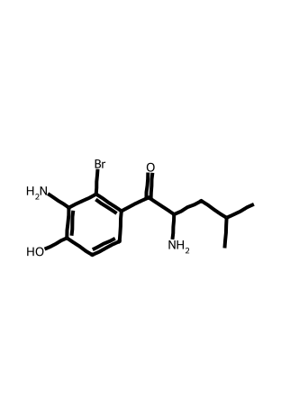 CC(C)CC(N)C(=O)c1ccc(O)c(N)c1Br